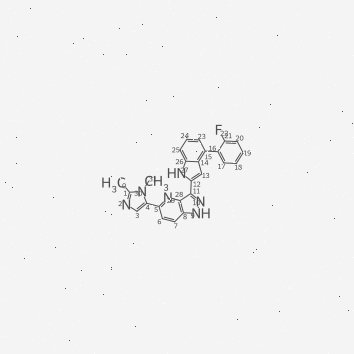 Cc1ncc(-c2ccc3[nH]nc(-c4cc5c(-c6ccccc6F)cccc5[nH]4)c3n2)n1C